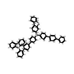 c1ccc(-c2ccc(-c3ccc(N(c4ccc(-c5ccc(-c6ccccc6-n6c7ccccc7c7ccccc76)cc5)cc4)c4ccc5c(c4)sc4ccccc45)cc3)cc2)cc1